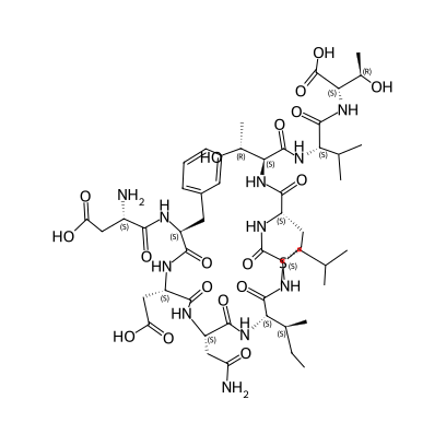 CC[C@H](C)[C@H](NC(=O)[C@H](CC(N)=O)NC(=O)[C@H](CC(=O)O)NC(=O)[C@H](Cc1ccccc1)NC(=O)[C@@H](N)CC(=O)O)C(=O)N[C@@H](CC(C)C)C(=O)N[C@@H](CCSC)C(=O)N[C@H](C(=O)N[C@H](C(=O)N[C@H](C(=O)O)[C@@H](C)O)C(C)C)[C@@H](C)O